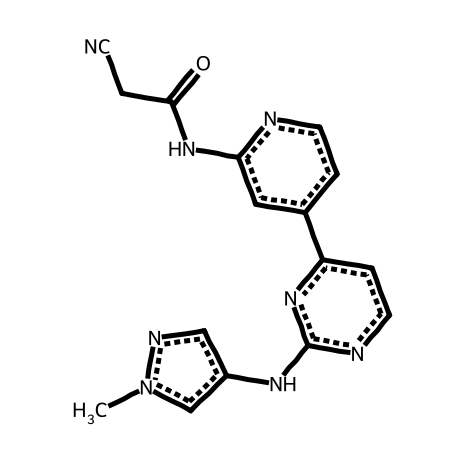 Cn1cc(Nc2nccc(-c3ccnc(NC(=O)CC#N)c3)n2)cn1